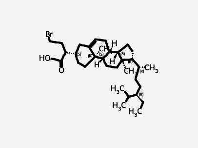 CC[C@H](CC[C@@H](C)[C@H]1CC[C@H]2[C@@H]3CC=C4C[C@@H](C(CCBr)C(=O)O)CC[C@]4(C)[C@H]3CC[C@]12C)C(C)C